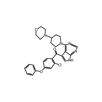 O=C(c1ccc(Oc2ccccc2)cc1Cl)c1c[nH]c2ncnc(N3CCC(N4CCOCC4)CC3)c12